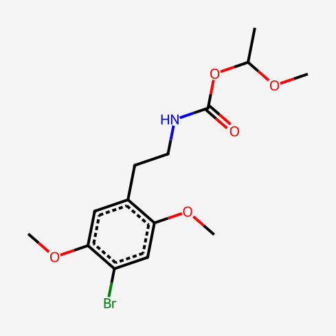 COc1cc(CCNC(=O)OC(C)OC)c(OC)cc1Br